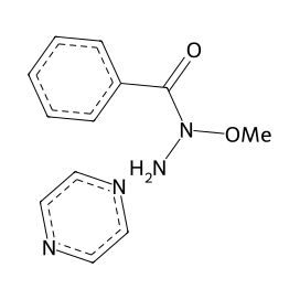 CON(N)C(=O)c1ccccc1.c1cnccn1